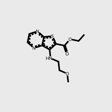 CCOC(=O)c1sc2nccnc2c1NCCOC